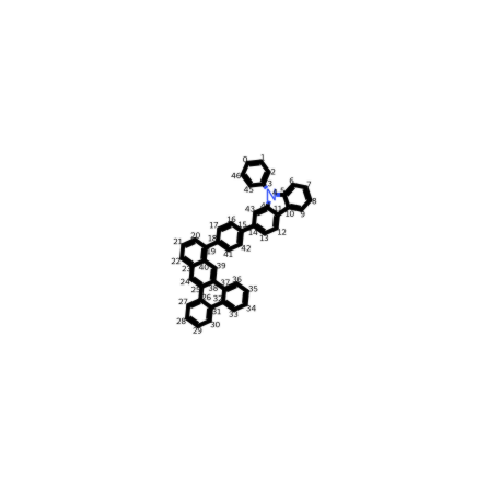 c1ccc(-n2c3ccccc3c3ccc(-c4ccc(-c5cccc6cc7c8ccccc8c8ccccc8c7cc56)cc4)cc32)cc1